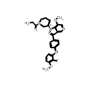 CCC(=O)N1CCC[C@@H](n2nc(-c3ccc(Oc4cccc(OC)c4F)cc3)c3cncc(OC)c32)C1